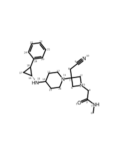 CNC(=O)CN1CC(CC#N)(N2CCC(N[C@@H]3CC3c3ccccc3)CC2)C1